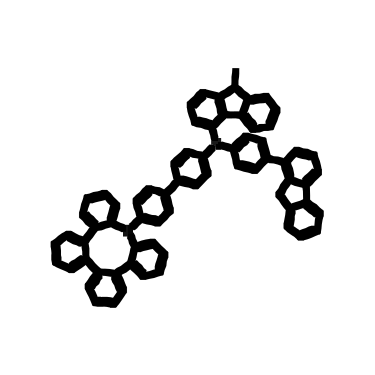 CC1c2ccccc2-c2c1cccc2N(c1ccc(-c2ccc(-n3c4ccccc4c4ccccc4c4ccccc4c4ccccc43)cc2)cc1)c1ccc(-c2cccc3c2Cc2ccccc2-3)cc1